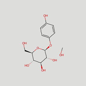 CO.OC[C@H]1O[C@@H](Oc2ccc(O)cc2)[C@H](O)[C@@H](O)[C@@H]1O